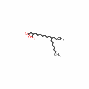 CCCCCCCC(CCC)CCCCCCCC1CC(=O)OC1=O